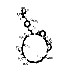 CO[C@@H]1C[C@@H](C[C@H](C)[C@H]2CC(=O)[C@H](C)/C=C(\C)[C@@H](O)[C@H](CO)C(=O)[C@@H](C)C[C@@H](C)/C=C/C=C/C=C(\C)[C@@H](CO)C[C@@H]3CC[C@@H](C)[C@@](O)(O3)C(=O)C(=O)N3CCCC[C@@H]3C(=O)O2)CC[C@@H]1OC(=O)C(C)(CO)CO